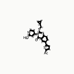 CC(=O)c1ccc(-c2ccc3nc(SCC4CC4)n(-c4ccnc(O)c4)c(=O)c3c2)s1